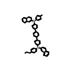 CCCc1ccc(N(c2ccc(-c3ccc(-c4ccc(N(c5ccc(C)cc5)c5ccc6ccccc6c5)cc4)cc3)cc2)c2ccc3ccccc3c2)cc1